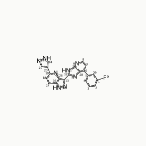 Fc1cccc(-c2ccnc3[nH]c(-c4n[nH]c5ccc(-c6cn[nH]c6)nc45)nc23)c1